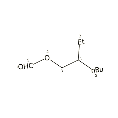 CCCCC(CC)CO[C]=O